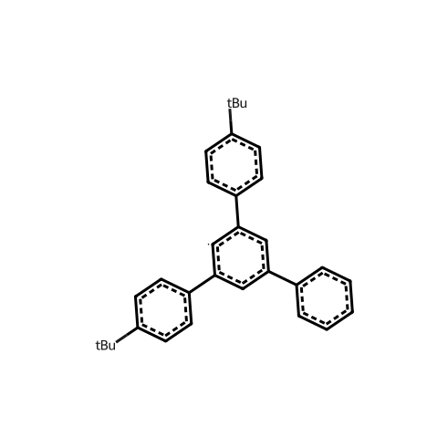 CC(C)(C)c1ccc(-c2[c]c(-c3ccc(C(C)(C)C)cc3)cc(-c3ccccc3)c2)cc1